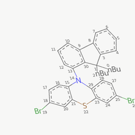 CCCCC1(CCCC)c2ccccc2-c2cccc(N3c4ccc(Br)cc4Sc4cc(Br)ccc43)c21